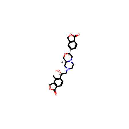 Cc1c([C@@H](O)CN2CCN3C[C@@H](c4ccc5c(c4)COC5=O)OC[C@@H]3C2)ccc2c1COC2=O